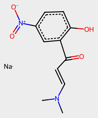 CN(C)C=CC(=O)c1cc([N+](=O)[O-])ccc1O.[Na]